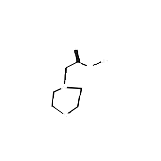 CC(C)OC(=O)CN1CC[N]CC1